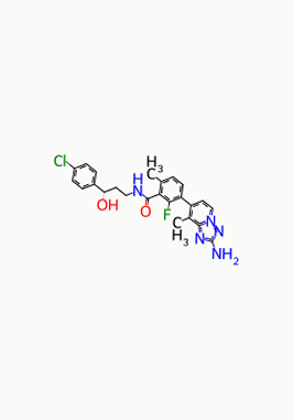 Cc1ccc(-c2ccn3nc(N)nc3c2C)c(F)c1C(=O)NCC[C@H](O)c1ccc(Cl)cc1